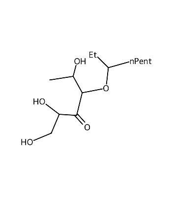 CCCCCC(CC)OC(C(=O)C(O)CO)C(C)O